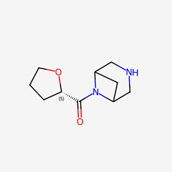 O=C([C@@H]1CCCO1)N1C2CNCC1C2